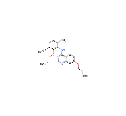 C#Cc1ccc(C)c(Nc2ncnc3cc(OCCOC)ccc23)c1OCCOC